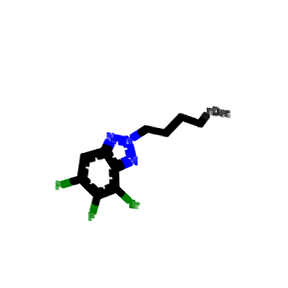 CCCCCCCCCCCCCCn1nc2cc(F)c(F)c(Br)c2n1